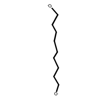 [O]CCCCCCCCC[O]